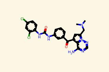 CN(C)Cc1cc(C(=O)c2cccc(NC(=O)Nc3ccc(Cl)cc3Cl)c2)c2c(N)ncnn12